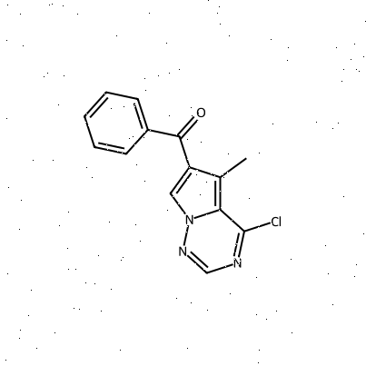 Cc1c(C(=O)c2ccccc2)cn2ncnc(Cl)c12